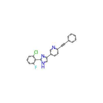 Fc1cccc(Cl)c1-c1nc(-c2ccc(C#Cc3ccccc3)nc2)c[nH]1